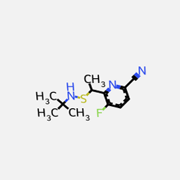 CC(SNC(C)(C)C)c1nc(C#N)ccc1F